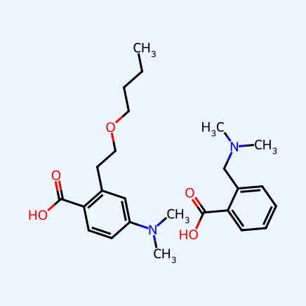 CCCCOCCc1cc(N(C)C)ccc1C(=O)O.CN(C)Cc1ccccc1C(=O)O